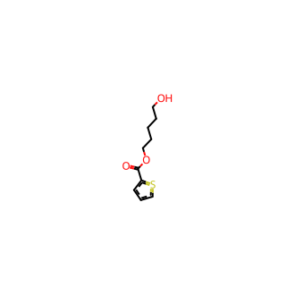 O=C(OCCCCCO)c1cccs1